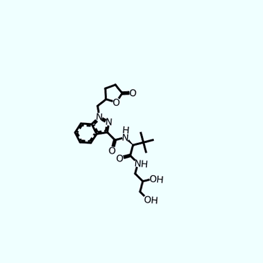 CC(C)(C)[C@H](NC(=O)c1nn(CC2CCC(=O)O2)c2ccccc12)C(=O)NCC(O)CO